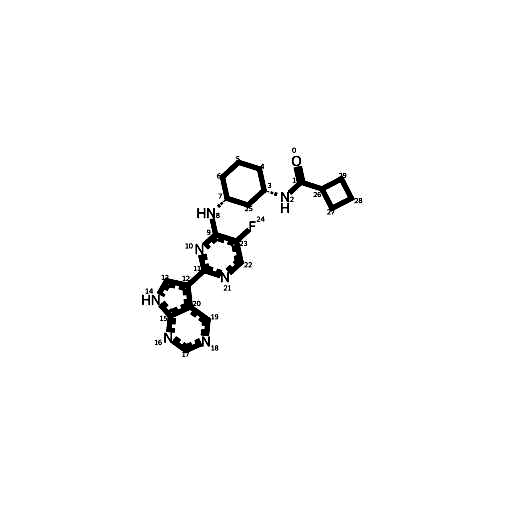 O=C(N[C@H]1CCC[C@@H](Nc2nc(-c3c[nH]c4ncncc34)ncc2F)C1)C1CCC1